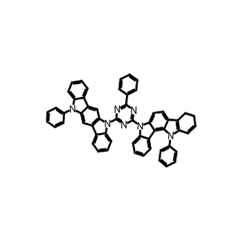 C1=Cc2c(c3ccc4c(c5ccccc5n4-c4nc(-c5ccccc5)nc(-n5c6ccccc6c6cc7c(cc65)c5ccccc5n7-c5ccccc5)n4)c3n2-c2ccccc2)CC1